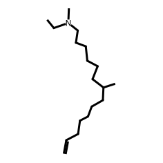 C=CCCCCCC(C)CCCCCCN(C)CC